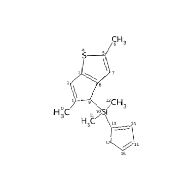 CC1=Cc2sc(C)cc2C1[Si](C)(C)C1=CC=CC1